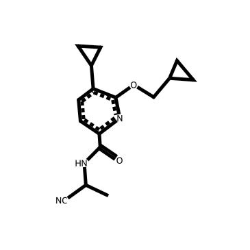 CC(C#N)NC(=O)c1ccc(C2CC2)c(OCC2CC2)n1